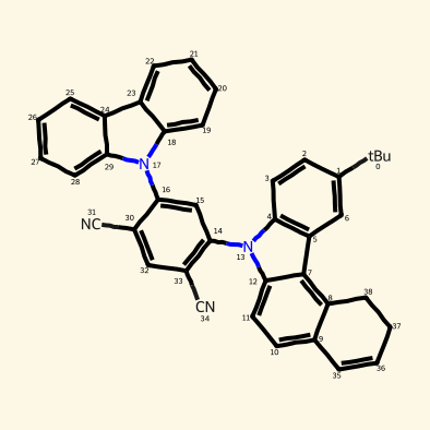 CC(C)(C)c1ccc2c(c1)c1c3c(ccc1n2-c1cc(-n2c4ccccc4c4ccccc42)c(C#N)cc1C#N)C=CCC3